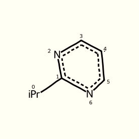 CC(C)c1nc[c]cn1